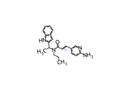 CCCN(C(=O)/C=C/c1ccc(N)nc1)C(C)c1cc2ccccc2[nH]1